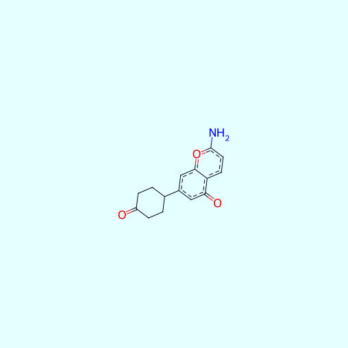 Nc1ccc2c(=O)cc(C3CCC(=O)CC3)cc-2o1